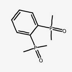 CP(C)(=O)c1ccccc1P(C)(C)=O